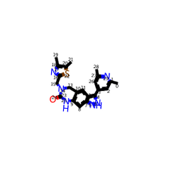 Cc1cc(-c2n[nH]c3cc4c(cc23)CN(Cc2nc(C)c(C)s2)C(=O)N4)cc(C)n1